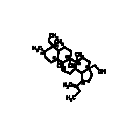 C=C(CC)[C@@H]1CC[C@]2(CO)CC[C@]3(C)C(CCC4[C@@]5(C)CC[C@H](C)[C@@](C)(CC)C5CC[C@]43C)C12